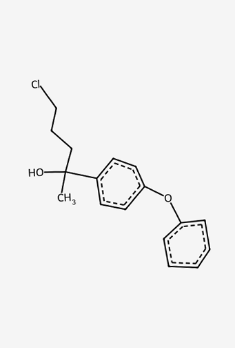 CC(O)(CCCCl)c1ccc(Oc2ccccc2)cc1